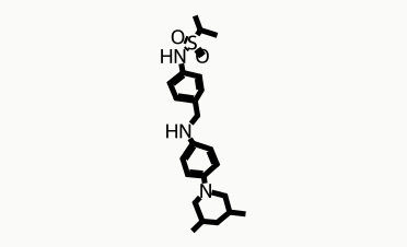 CC1CC(C)CN(c2ccc(NCc3ccc(NS(=O)(=O)C(C)C)cc3)cc2)C1